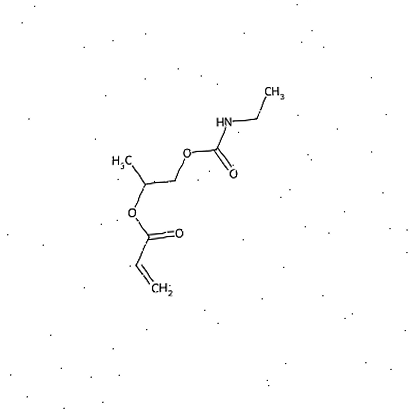 C=CC(=O)OC(C)COC(=O)NCC